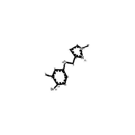 Cc1cc(OCc2ccn(C)n2)ccc1Br